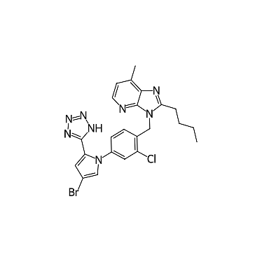 CCCCc1nc2c(C)ccnc2n1Cc1ccc(-n2cc(Br)cc2-c2nnn[nH]2)cc1Cl